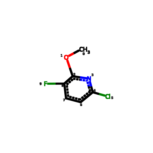 COc1nc(Cl)ccc1F